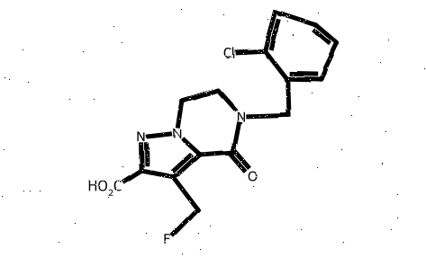 O=C(O)c1nn2c(c1CF)C(=O)N(Cc1ccccc1Cl)CC2